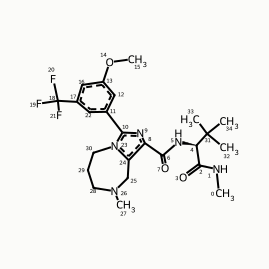 CNC(=O)[C@@H](NC(=O)c1nc(-c2cc(OC)cc(C(F)(F)F)c2)n2c1CN(C)CCC2)C(C)(C)C